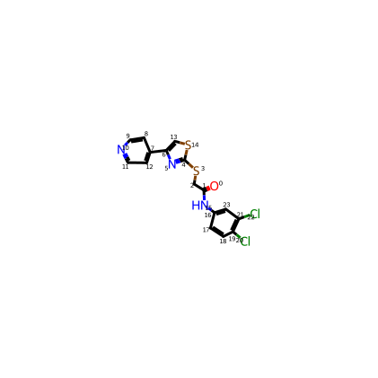 O=C(CSc1nc(-c2ccncc2)cs1)Nc1ccc(Cl)c(Cl)c1